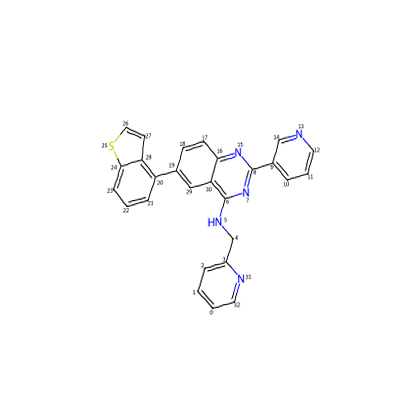 c1ccc(CNc2nc(-c3cccnc3)nc3ccc(-c4cccc5sccc45)cc23)nc1